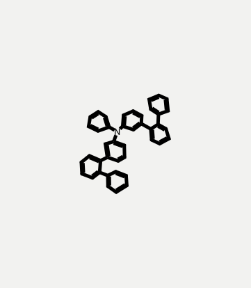 c1ccc(-c2ccccc2-c2cccc(N(c3ccccc3)c3cccc(-c4ccccc4-c4ccccc4)c3)c2)cc1